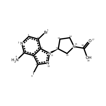 Nc1ncc(Br)c2c1c(I)nn2[C@H]1CCN(C(=O)O)C1